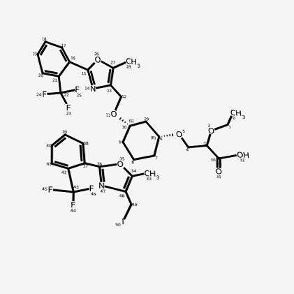 CCOC(CO[C@@H]1CCC[C@H](OCc2nc(-c3ccccc3C(F)(F)F)oc2C)C1)C(=O)O.Cc1oc(-c2ccccc2C(F)(F)F)nc1CI